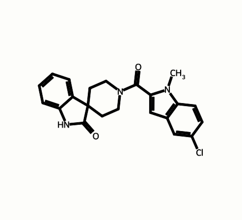 Cn1c(C(=O)N2CCC3(CC2)C(=O)Nc2ccccc23)cc2cc(Cl)ccc21